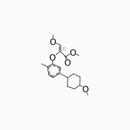 CO/C=C(\Oc1cc(C2CCC(OC)CC2)ccc1C)C(=O)OC